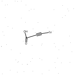 [2H]C#CC(=O)O